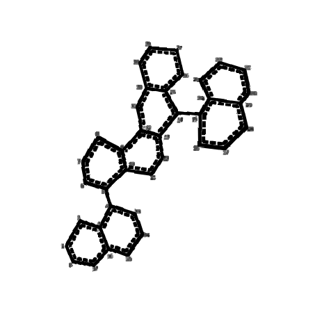 c1ccc2c(-c3cccc4c3ccc3c(-c5cccc6ccccc56)c5ccccc5cc34)cccc2c1